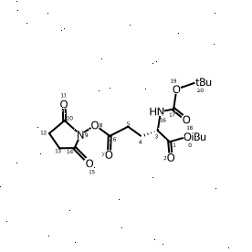 CC(C)COC(=O)[C@H](CCC(=O)ON1C(=O)CCC1=O)NC(=O)OC(C)(C)C